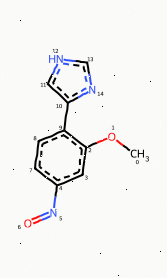 COc1cc(N=O)ccc1-c1c[nH]cn1